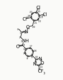 CC(CNC(=O)c1ccc(-c2noc(C(F)(F)F)n2)cc1)=NOCc1cc(Cl)c(Cl)cc1Cl